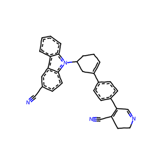 N#CC1=C(c2ccc(C3=CCCC(n4c5ccccc5c5cc(C#N)ccc54)C3)cc2)C=NCC1